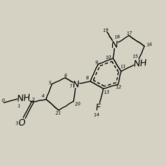 CNC(=O)C1CCN(c2cc3c(cc2F)NCCN3C)CC1